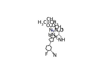 CN1C(=O)C2CNC[C@]2(c2cc(-c3ccc(F)c(C#N)c3)cs2)N/C1=N/C(=O)OC(C)(C)C